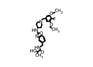 CCOc1cc(CN2CCC(Nc3nc4cc(CNC(=O)C(C)O)ccc4o3)CC2)cc(OCC)c1F